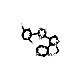 CCOC(=O)Cn1ncc(-c2nc(-c3cc(F)ccc3F)no2)c1-c1ccncc1